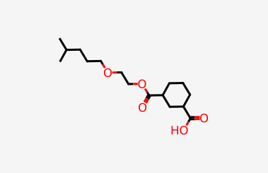 CC(C)CCCOCCOC(=O)C1CCCC(C(=O)O)C1